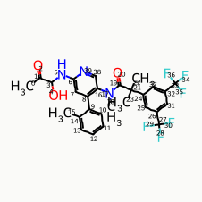 CC(=O)C(O)Nc1cc(-c2ccccc2C)c(N(C)C(=O)C(C)(C)c2cc(C(F)(F)F)cc(C(F)(F)F)c2)cn1